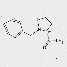 CC(=O)[C@H]1CCCN1Cc1ccccc1